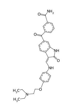 CCN(CC)CCOc1ccc(NC=C2C(=O)Nc3cc(C(=O)c4cccc(C(N)=O)c4)ccc32)cc1